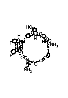 C[C@@]12CCCN1C(=O)[C@H](Cc1ccc(O)cc1)NC(=O)c1cccc(c1)CNC(=O)[C@H](Cc1c[nH]c3ccc(F)cc13)NC(=O)[C@@H](Cc1c[nH]c3ccc(F)cc13)NC(=O)CNC(=O)[C@H](CCCCN)NC(=O)CCSCc1cccc(c1)CSC[C@@H](C(N)=O)NC2=O